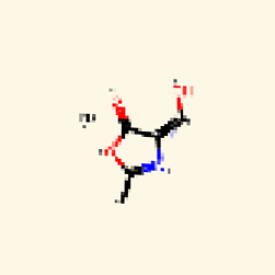 CC1=N/C(=C/O)C(=O)O1.[NaH]